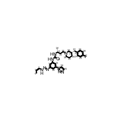 C/C=C\N/N=N/c1cc(NC(=O)N[C@H](C)CCN2CCC[C@@H](Cc3ccc(F)cc3)C2)cc(-n2ccnn2)c1